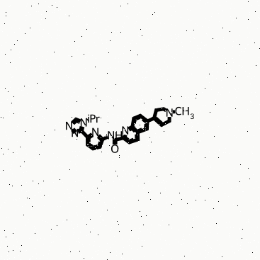 CC(C)n1cnnc1-c1cccc(NC(=O)c2ccc3cc(C4=CCN(C)CC4)ccc3n2)n1